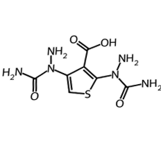 NC(=O)N(N)c1csc(N(N)C(N)=O)c1C(=O)O